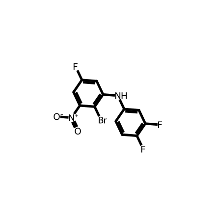 O=[N+]([O-])c1cc(F)cc(Nc2ccc(F)c(F)c2)c1Br